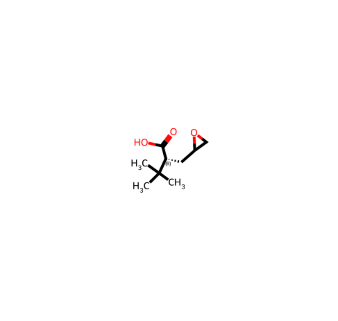 CC(C)(C)[C@@H](CC1CO1)C(=O)O